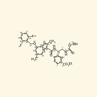 CCOC(=O)c1cccc(C(CNC(=O)OC(C)(C)C)NC(=O)c2c(C)nc3c(OCc4c(F)cccc4F)cc(C)cn23)n1